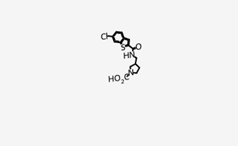 O=C(NCC1CCN(C(=O)O)C1)c1cc2ccc(Cl)cc2s1